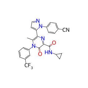 Cc1c(-c2ccnn2-c2ccc(C#N)cc2)nc(C(=O)NC2CC2)c(=O)n1-c1cccc(C(F)(F)F)c1